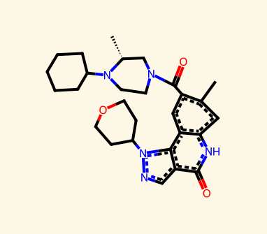 Cc1cc2[nH]c(=O)c3cnn(C4CCOCC4)c3c2cc1C(=O)N1CCN(C2CCCCC2)[C@H](C)C1